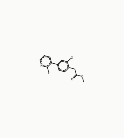 COC(=O)Cc1ccc(-c2cccnc2F)cc1Cl